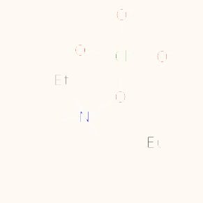 CCC1CCCC[N+]1(CC)O[Cl+3]([O-])([O-])[O-]